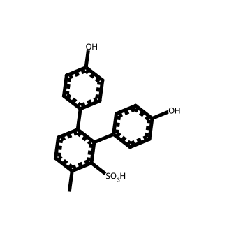 Cc1ccc(-c2ccc(O)cc2)c(-c2ccc(O)cc2)c1S(=O)(=O)O